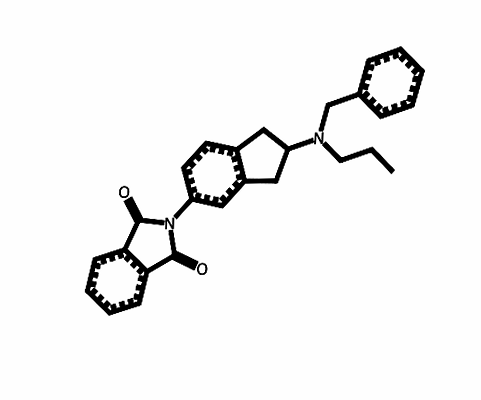 CCCN(Cc1ccccc1)C1Cc2ccc(N3C(=O)c4ccccc4C3=O)cc2C1